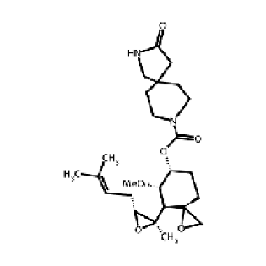 CO[C@@H]1[C@H](OC(=O)N2CCC3(CC2)CNC(=O)C3)CC[C@]2(CO2)[C@H]1[C@@]1(C)O[C@@H]1CC=C(C)C